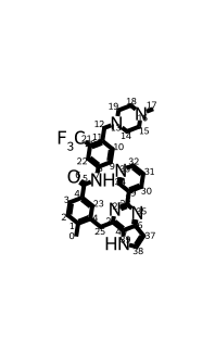 Cc1ccc(C(=O)Nc2ccc(CN3CCN(C)CC3)c(C(F)(F)F)c2)cc1Cc1nc(-c2cccnc2)nc2cc[nH]c12